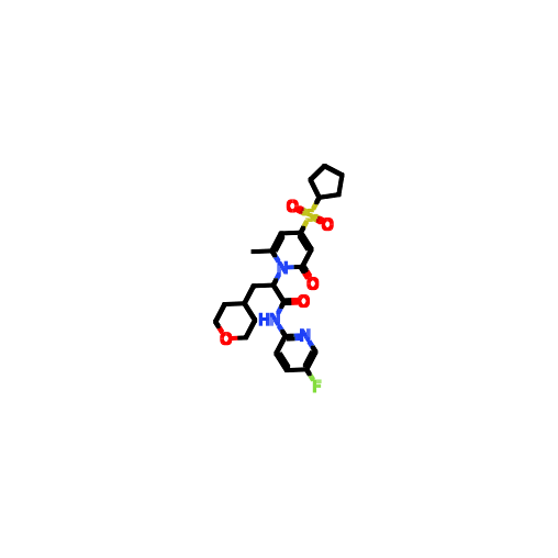 Cc1cc(S(=O)(=O)C2CCCC2)cc(=O)n1C(CC1CCOCC1)C(=O)Nc1ccc(F)cn1